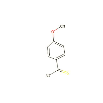 CCC(=S)c1ccc(OC#N)cc1